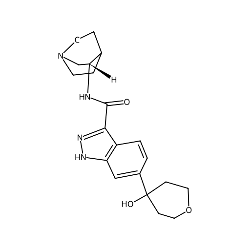 O=C(N[C@@H]1CN2CCC1CC2)c1n[nH]c2cc(C3(O)CCOCC3)ccc12